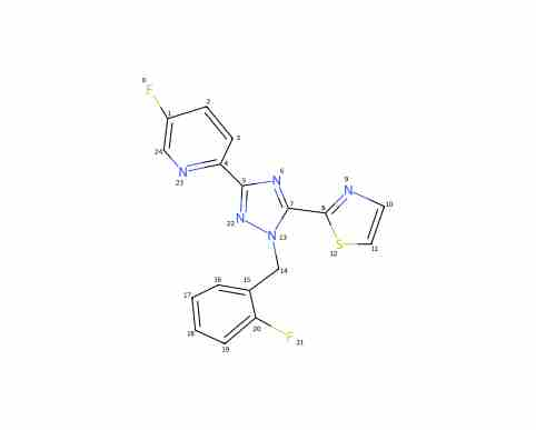 Fc1ccc(-c2nc(-c3nccs3)n(Cc3ccccc3F)n2)nc1